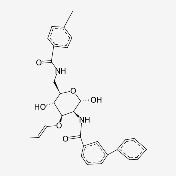 CC=CO[C@H]1[C@H](O)[C@@H](CNC(=O)c2ccc(C)cc2)O[C@H](O)[C@H]1NC(=O)c1cccc(-c2ccccc2)c1